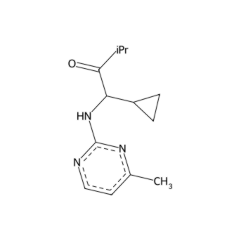 Cc1ccnc(NC(C(=O)C(C)C)C2CC2)n1